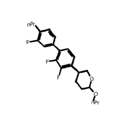 CCCOC1CCC(c2ccc(-c3ccc(CCC)c(F)c3)c(F)c2F)CO1